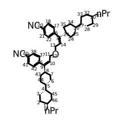 CCC[C@H]1CC[C@H]([C@H]2CC[C@H](C(=CCOCC=C(c3ccc(C#N)cc3)[C@H]3CC[C@H]([C@H]4CC[C@H](CCC)CC4)CC3)c3ccc(C#N)cc3)CC2)CC1